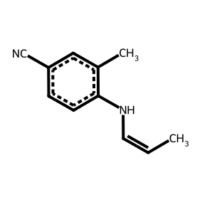 C/C=C\Nc1ccc(C#N)cc1C